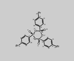 CC(C)c1ccc(P2(=O)OP(=O)(c3ccc(C(C)C)cc3)OP(=O)(c3ccc(C(C)C)cc3)O2)cc1